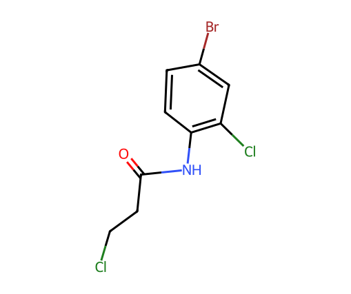 O=C(CCCl)Nc1ccc(Br)cc1Cl